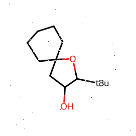 CC(C)(C)C1OC2(CCCCC2)CC1O